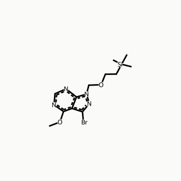 COc1ncnc2c1c(Br)nn2COCC[Si](C)(C)C